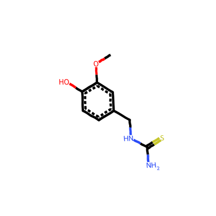 COc1cc(CNC(N)=S)ccc1O